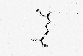 CCCCC(=C=CCOC(=O)OC(C)C)CCCC